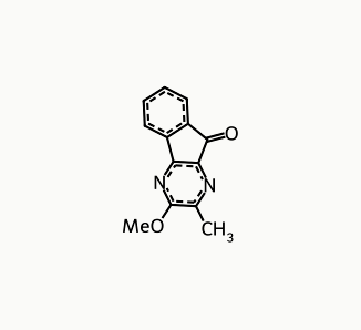 COc1nc2c(nc1C)C(=O)c1ccccc1-2